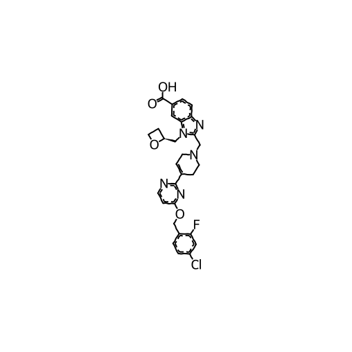 O=C(O)c1ccc2nc(CN3CC=C(c4nccc(OCc5ccc(Cl)cc5F)n4)CC3)n(C[C@@H]3CCO3)c2c1